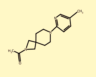 CC(=O)N1CC2(CCN(c3ccc(C)cn3)CC2)C1